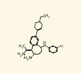 CCN1CC=C(c2ccc3c(c2)C(Nc2cccc(Cl)c2)CCN(N)/C3=C(/C)N)CC1